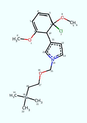 COC1=CC=CC(Cl)(OC)C1c1ccn(COCC[Si](C)(C)C)c1